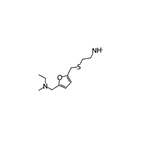 CCN(C)Cc1ccc(CSCC[NH])o1